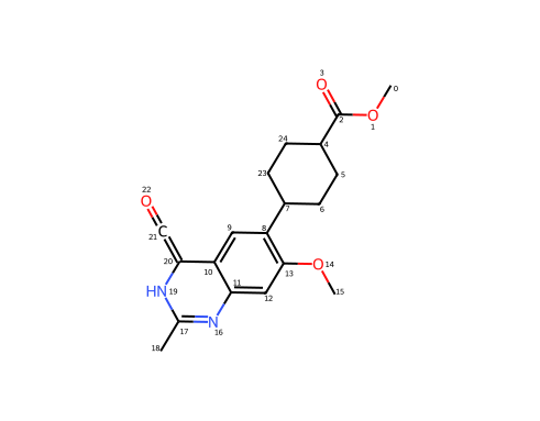 COC(=O)C1CCC(c2cc3c(cc2OC)N=C(C)NC3=C=O)CC1